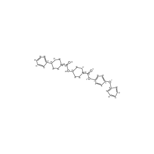 O=C(Oc1ccc(Oc2ccccc2)cc1)N1CCC(OC(=O)N2CCC(c3ccccc3)CC2)CC1